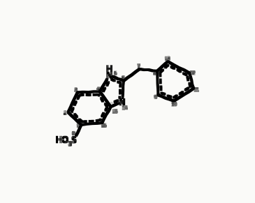 O=S(=O)(O)c1ccc2[nH]c(Cc3ccccc3)nc2c1